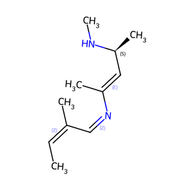 C\C=C(C)/C=N\C(C)=C\[C@H](C)NC